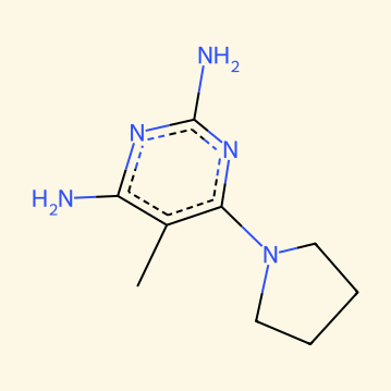 Cc1c(N)nc(N)nc1N1CCCC1